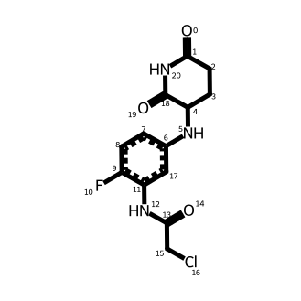 O=C1CCC(Nc2ccc(F)c(NC(=O)CCl)c2)C(=O)N1